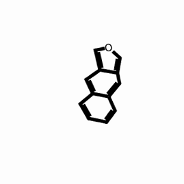 c1ccc2cc3cocc3cc2c1